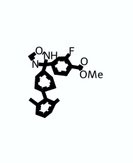 COC(=O)c1ccc(C2(c3ccc(-c4c(C)cccc4C)cc3)N=CON2)cc1F